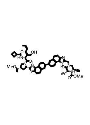 C#CCCN(Cc1nc2ccc3cc(-c4ccc5c(ccc6nc([C@@H]7C[C@H](C(=C)OC)CN7C(=O)[C@H](NC(=O)C7CCC7)/C(=C/C=C\C)CO)n(I)c65)c4)ccc3c2[nH]1)C(=O)[C@@H](NC(=O)OC)C(C)C